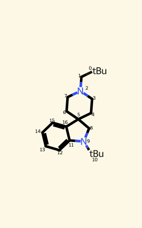 CC(C)(C)CN1CCC2(CC1)CN(C(C)(C)C)c1ccccc12